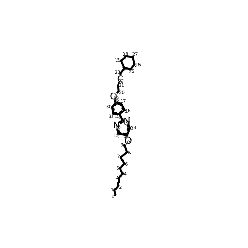 CCCCCCCCCCOc1cnc(-c2ccc(OCCCCC3CCCCC3)cc2)nc1